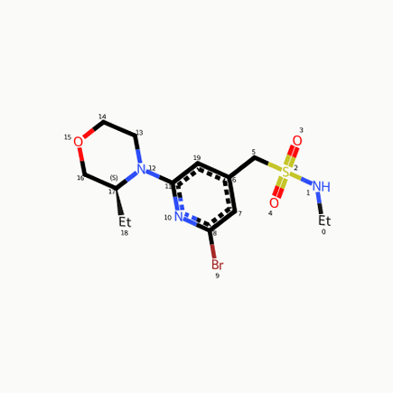 CCNS(=O)(=O)Cc1cc(Br)nc(N2CCOC[C@@H]2CC)c1